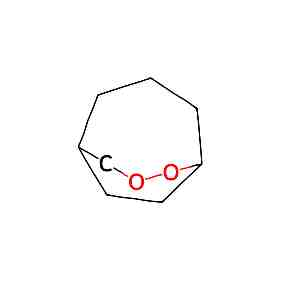 C1CC2CCC(C1)OOC2